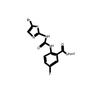 CCCCCC(=O)c1cc(F)ccc1NC(=O)Nc1ncc(Br)s1